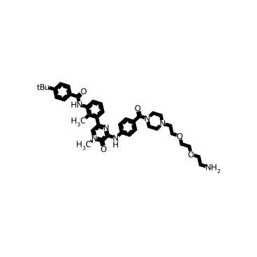 Cc1c(NC(=O)c2ccc(C(C)(C)C)cc2)cccc1-c1cn(C)c(=O)c(Nc2ccc(C(=O)N3CCN(CCOCCOCCN)CC3)cc2)n1